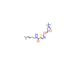 CC(C)/C=C/CCNC(=O)c1cnc(OC=C2CN(C(C)(C)C)CO2)s1